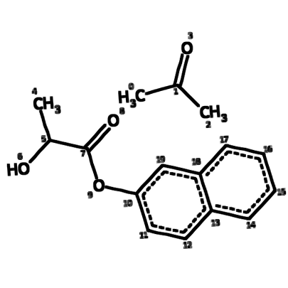 CC(C)=O.CC(O)C(=O)Oc1ccc2ccccc2c1